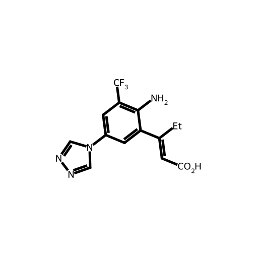 CC/C(=C\C(=O)O)c1cc(-n2cnnc2)cc(C(F)(F)F)c1N